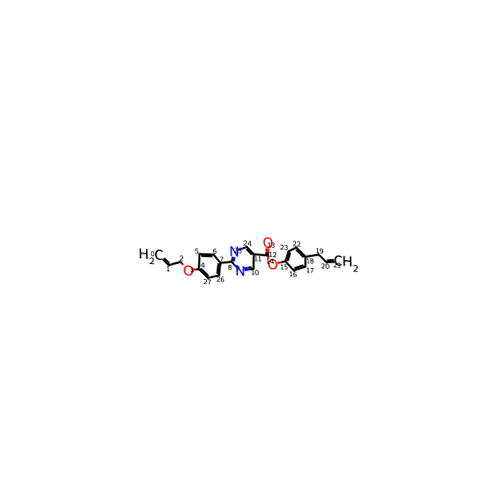 C=CCOc1ccc(-c2ncc(C(=O)Oc3ccc(CC=C)cc3)cn2)cc1